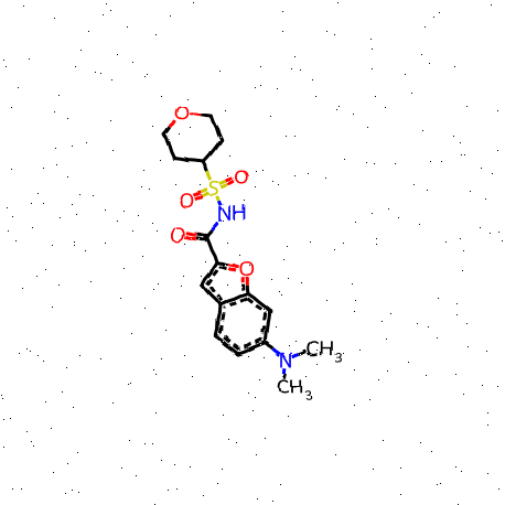 CN(C)c1ccc2cc(C(=O)NS(=O)(=O)C3CCOCC3)oc2c1